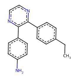 CCc1ccc(-c2nccnc2-c2ccc(N)cc2)cc1